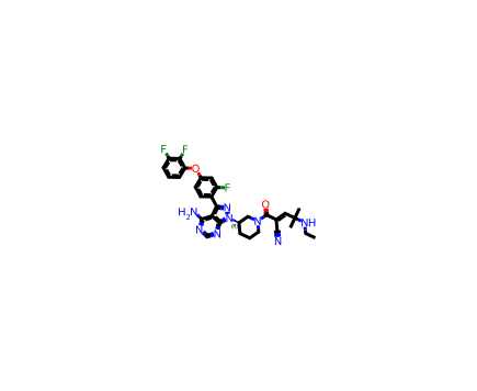 CCNC(C)(C)C=C(C#N)C(=O)N1CCC[C@@H](n2nc(-c3ccc(Oc4cccc(F)c4F)cc3F)c3c(N)ncnc32)C1